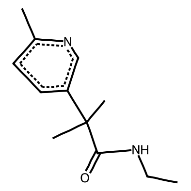 CCNC(=O)C(C)(C)c1ccc(C)nc1